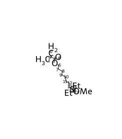 C=C(C)C(=O)OCCCCCCCC[Si](CC)(CC)OC